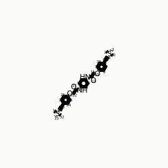 CS(C)(C)C#Cc1ccc(OCC(=O)N[C@H]2CC[C@H](NC(=O)COc3ccc(C#CS(C)(C)C)cc3)CC2)cc1